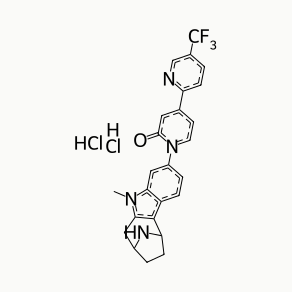 Cl.Cl.Cn1c2c(c3ccc(-n4ccc(-c5ccc(C(F)(F)F)cn5)cc4=O)cc31)C1CCC(C2)N1